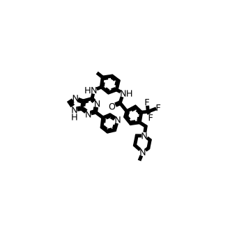 Cc1ccc(NC(=O)c2ccc(CN3CCN(C)CC3)c(C(F)(F)F)c2)cc1Nc1nc(-c2cccnc2)nc2[nH]cnc12